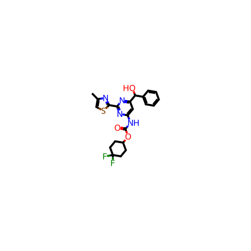 Cc1csc(-c2nc(NC(=O)OC3CCC(F)(F)CC3)cc(C(O)c3ccccc3)n2)n1